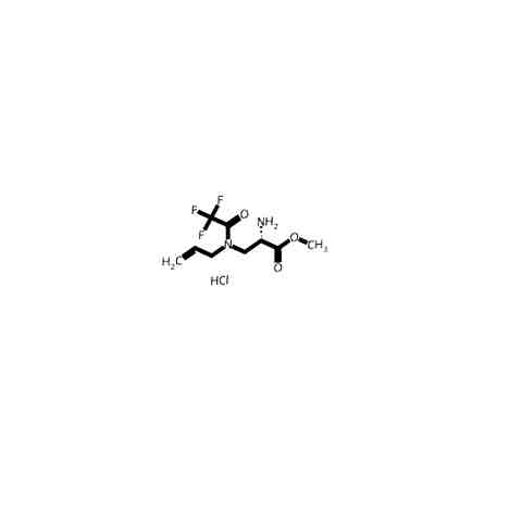 C=CCN(C[C@H](N)C(=O)OC)C(=O)C(F)(F)F.Cl